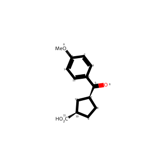 COc1ccc(C(=O)[C@H]2CC[C@@H](C(=O)O)C2)cc1